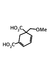 COCC1(C(=O)O)C=CC=C(C(=O)O)C1